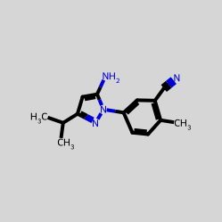 Cc1ccc(-n2nc(C(C)C)cc2N)cc1C#N